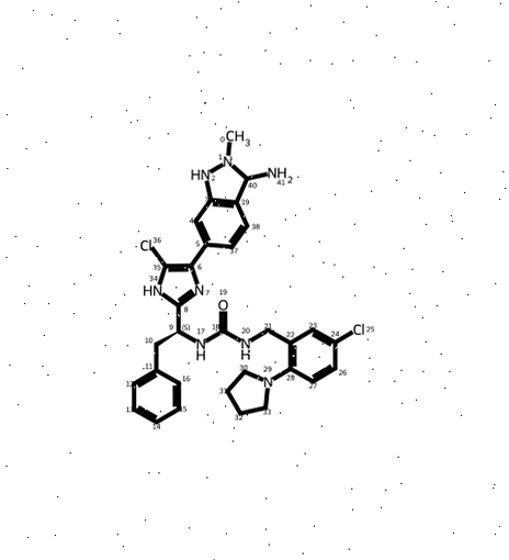 CN1Nc2cc(-c3nc([C@H](Cc4ccccc4)NC(=O)NCc4cc(Cl)ccc4N4CCCC4)[nH]c3Cl)ccc2C1N